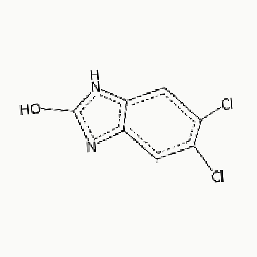 Oc1nc2[c]c(Cl)c(Cl)cc2[nH]1